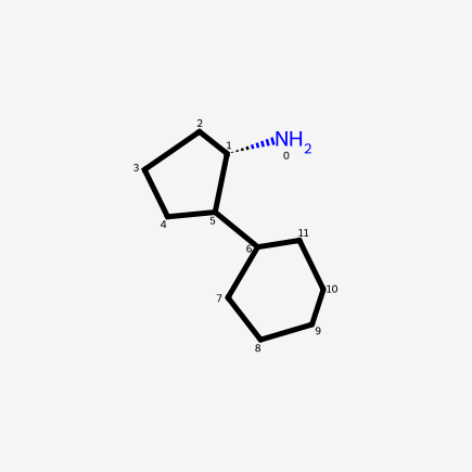 N[C@H]1CCCC1C1CCCCC1